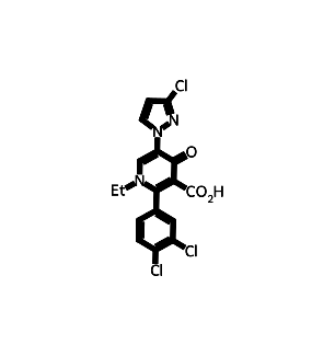 CCn1cc(-n2ccc(Cl)n2)c(=O)c(C(=O)O)c1-c1ccc(Cl)c(Cl)c1